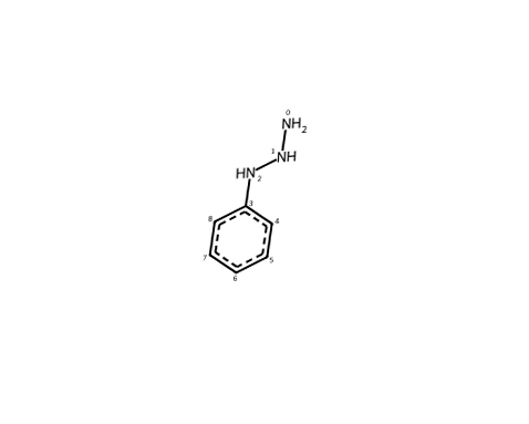 NNNc1ccccc1